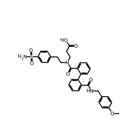 COc1ccc(CNC(=O)c2ccccc2-c2ccccc2C(=O)N(CCC(=O)O)CCc2ccc(S(N)(=O)=O)cc2)cc1